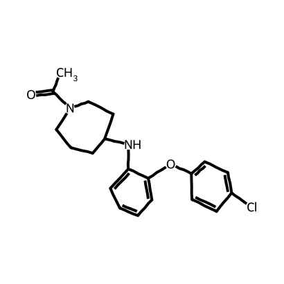 CC(=O)N1CCCC(Nc2ccccc2Oc2ccc(Cl)cc2)CC1